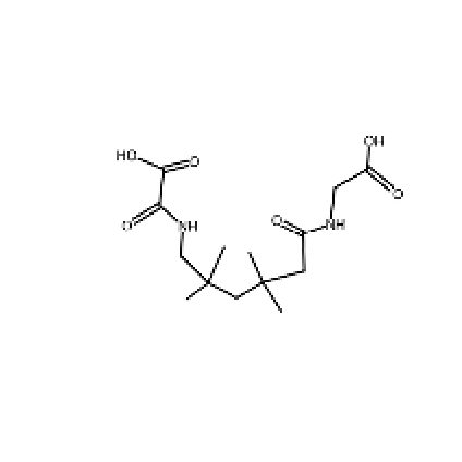 CC(C)(CNC(=O)C(=O)O)CC(C)(C)CC(=O)NCC(=O)O